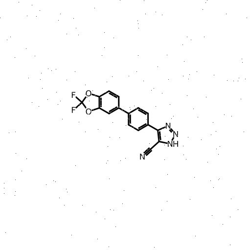 N#Cc1[nH]nnc1-c1ccc(-c2ccc3c(c2)OC(F)(F)O3)cc1